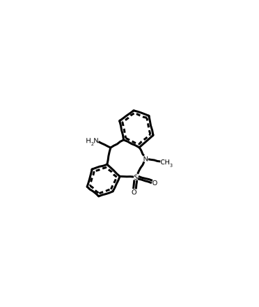 CN1c2ccccc2C(N)c2ccccc2S1(=O)=O